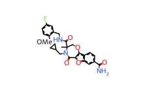 COc1ccc(F)cc1CNC(=O)C1(C)COc2c(oc3cc(C(N)=O)ccc23)C(=O)N1CC1CC1